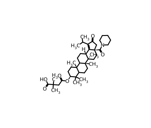 CC(C)C1=C2[C@H]3CCC4[C@@]5(C)CC[C@H](OC(=O)CC(C)(C)C(=O)O)C(C)(C)C5CC[C@@]4(C)[C@]3(C)CC[C@@]2(C(=O)N2CCCCC2)CC1=O